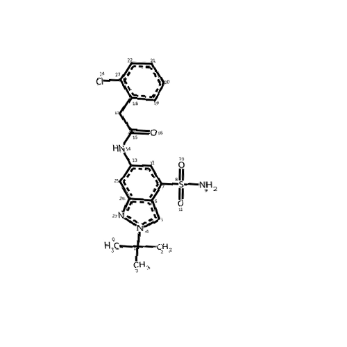 CC(C)(C)n1cc2c(S(N)(=O)=O)cc(NC(=O)Cc3ccccc3Cl)cc2n1